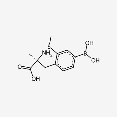 CSc1cc(B(O)O)ccc1C[C@](C)(N)C(=O)O